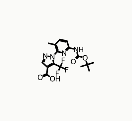 Cc1ccc(NC(=O)OC(C)(C)C)nc1-n1ncc(C(=O)O)c1C(F)(F)F